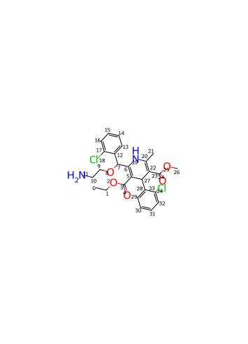 CCOC(=O)C1=C(C(OCCN)c2ccccc2Cl)NC(C)=C(C(=O)OC)C1c1ccccc1Cl